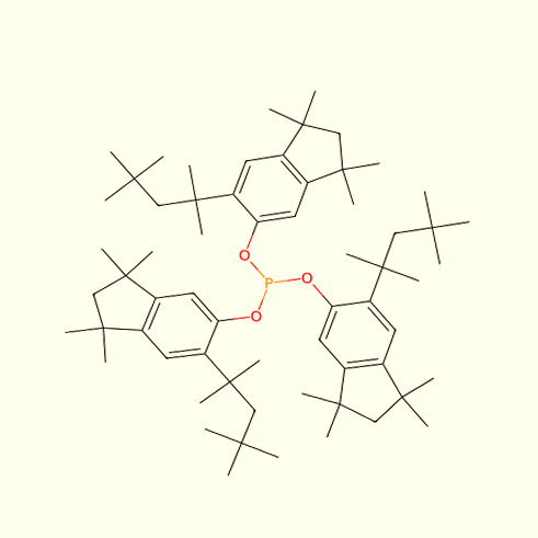 CC(C)(C)CC(C)(C)c1cc2c(cc1OP(Oc1cc3c(cc1C(C)(C)CC(C)(C)C)C(C)(C)CC3(C)C)Oc1cc3c(cc1C(C)(C)CC(C)(C)C)C(C)(C)CC3(C)C)C(C)(C)CC2(C)C